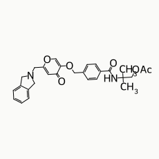 CC(=O)OCC(C)(C)NC(=O)c1ccc(COc2coc(CN3Cc4ccccc4C3)cc2=O)cc1